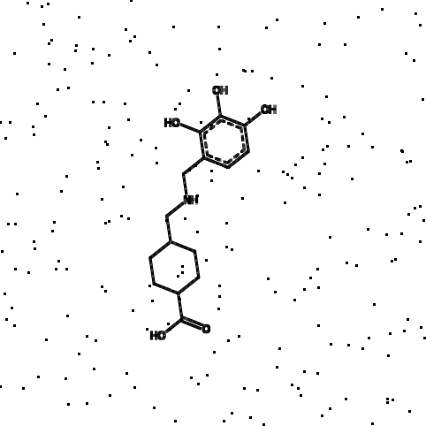 O=C(O)C1CCC(CNCc2ccc(O)c(O)c2O)CC1